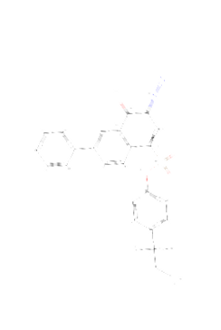 CC(C)(C)CC(C)(C)c1ccc(OS(=O)(=O)C2=CC(=[N+]=[N-])C(=O)c3cc(-c4ccccc4)ccc32)cc1